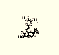 CCC(C)OC(=O)CCn1c(=O)c(O)cc2ccc([N+](=O)[O-])cc21